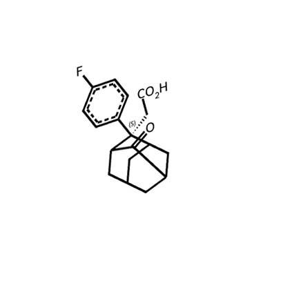 O=C(O)C[C@]1(c2ccc(F)cc2)C2CC3CC(C2)C(=O)C1C3